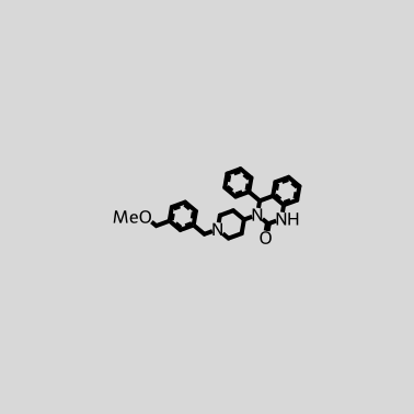 COCc1cccc(CN2CCC(N3C(=O)Nc4ccccc4C3c3ccccc3)CC2)c1